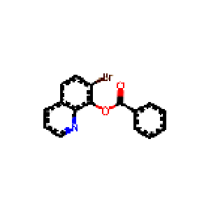 O=C(Oc1c(Br)ccc2cccnc12)c1ccccc1